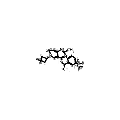 Cc1nc(N[C@H](C)c2cccc(S(F)(F)(F)(F)F)c2)c2cn(C3CC(F)(F)C3)c(=O)cc2n1